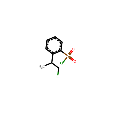 CC(CCl)c1ccccc1S(=O)(=O)Cl